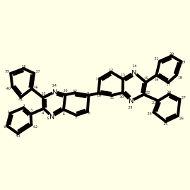 c1ccc(-c2nc3ccc(-c4ccc5nc(-c6ccccc6)c(-c6ccccc6)nc5c4)cc3nc2-c2ccccc2)cc1